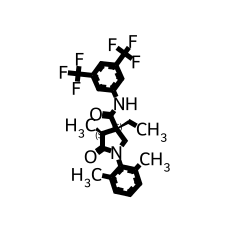 CC[C@@]1(C(=O)Nc2cc(C(F)(F)F)cc(C(F)(F)F)c2)CN(c2c(C)cccc2C)C(=O)[C@H]1C